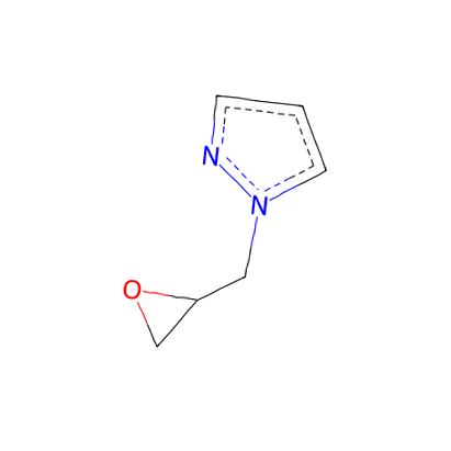 c1cnn(CC2CO2)c1